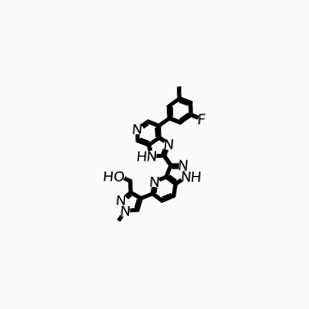 Cc1cc(F)cc(-c2cncc3[nH]c(-c4n[nH]c5ccc(-c6cn(C)nc6CO)nc45)nc23)c1